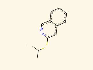 CC(C)Sc1cc2ccccc2cn1